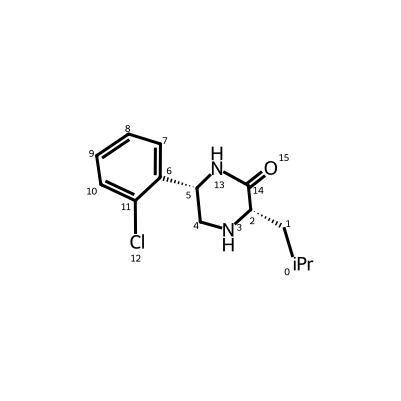 CC(C)C[C@@H]1NC[C@H](c2ccccc2Cl)NC1=O